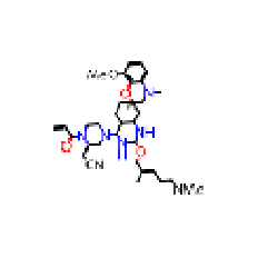 C=CC(=O)N1CCN(C2NC(OCC(C)CCCNC)NC3C[C@]4(CCC32)CN(C)c2cccc(OC)c2O4)CC1CC#N